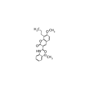 CCCc1c(OC)ccc2cc(C(=O)Nc3ccccc3OC)c(=O)oc12